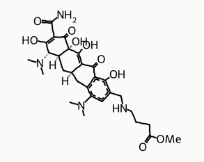 COC(=O)CCCNCc1cc(N(C)C)c2c(c1O)C(=O)C1=C(O)[C@]3(O)C(=O)C(C(N)=O)=C(O)[C@@H](N(C)C)[C@@H]3C[C@@H]1C2